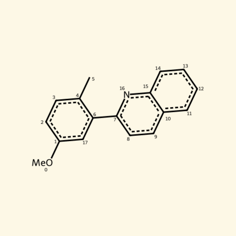 COc1ccc(C)c(-c2ccc3ccccc3n2)c1